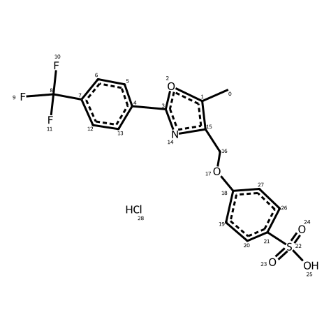 Cc1oc(-c2ccc(C(F)(F)F)cc2)nc1COc1ccc(S(=O)(=O)O)cc1.Cl